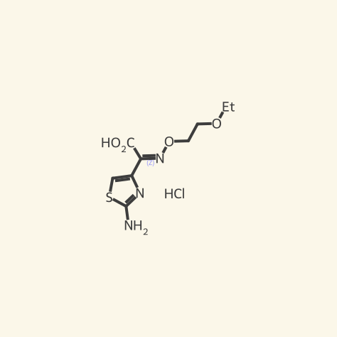 CCOCCO/N=C(\C(=O)O)c1csc(N)n1.Cl